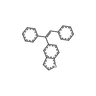 C(=C(\c1ccccc1)c1ccc2occc2c1)/c1ccccc1